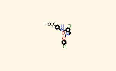 O=C(O)c1ccc(CNC(=O)c2cc(Cl)cc3ccn(CCOc4ccc(Cl)cc4)c23)cc1